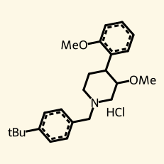 COc1ccccc1C1CCN(Cc2ccc(C(C)(C)C)cc2)CC1OC.Cl